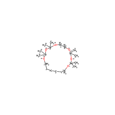 C[Si]1(C)O[SiH2]CCCC[SiH2]O[Si](C)(C)O[Si](C)(C)O[SiH2][SiH2]O[Si](C)(C)O1